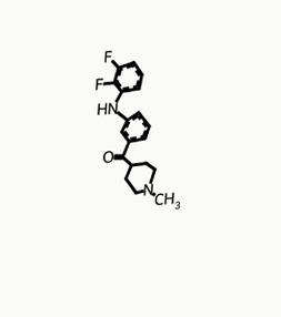 CN1CCC(C(=O)c2cccc(Nc3cccc(F)c3F)c2)CC1